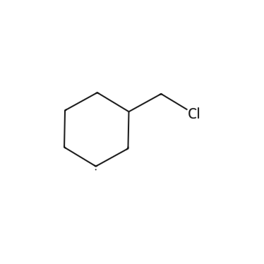 ClCC1C[CH]CCC1